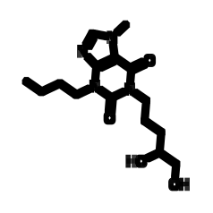 CCCCn1c(=O)n(CCCC(O)CO)c(=O)c2c1ncn2C